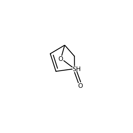 O=[SH]12C=CC(C1)O2